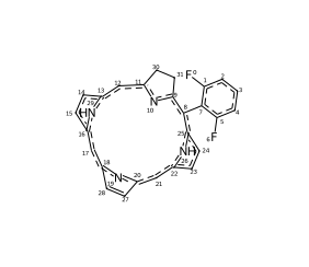 Fc1cccc(F)c1-c1c2nc(cc3ccc(cc4nc(cc5ccc1[nH]5)C=C4)[nH]3)CC2